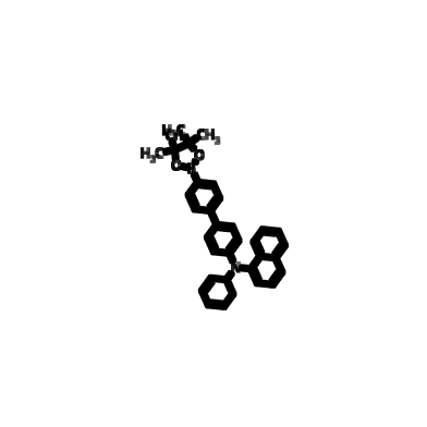 CC1(C)OB(c2ccc(-c3ccc(N(c4cccc5ccccc45)C4C=CC=CC4)cc3)cc2)OC1(C)C